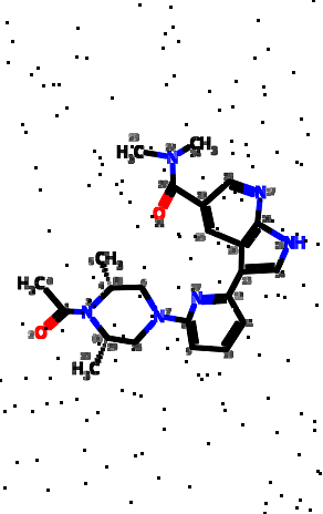 CC(=O)N1[C@H](C)CN(c2cccc(-c3c[nH]c4ncc(C(=O)N(C)C)cc34)n2)C[C@@H]1C